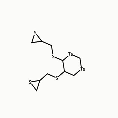 C1[Te]CC(SCC2CS2)C(SCC2CS2)[Te]1